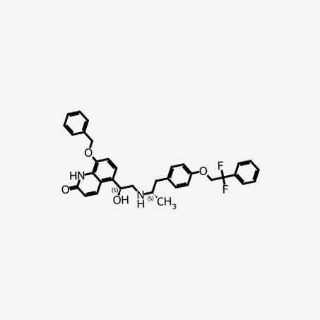 C[C@@H](Cc1ccc(OCC(F)(F)c2ccccc2)cc1)NC[C@@H](O)c1ccc(OCc2ccccc2)c2[nH]c(=O)ccc12